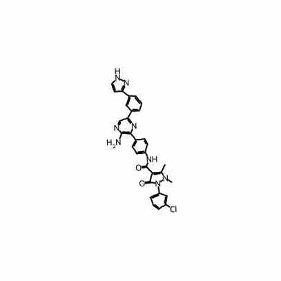 Cc1c(C(=O)Nc2ccc(-c3nc(-c4cccc(-c5cc[nH]n5)c4)cnc3N)cc2)c(=O)n(-c2cccc(Cl)c2)n1C